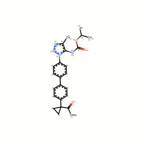 COC(=O)C1(c2ccc(-c3ccc(-n4nnc(C)c4NC(=O)OC(C)C(C)C)cc3)cc2)CC1